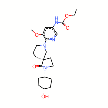 CCOC(=O)Nc1cnc(N2CCC[C@@]3(CCN([C@H]4CC[C@@H](O)CC4)C3=O)C2)c(OC)c1